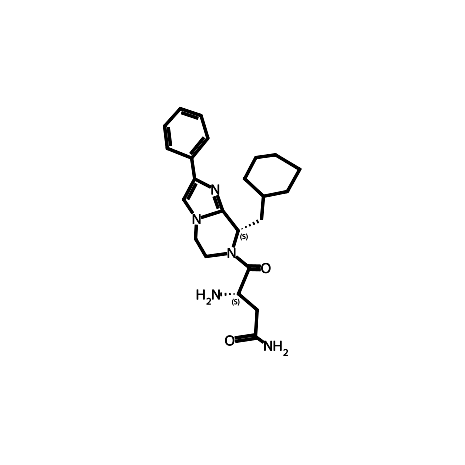 NC(=O)C[C@H](N)C(=O)N1CCn2cc(-c3ccccc3)nc2[C@@H]1CC1CCCCC1